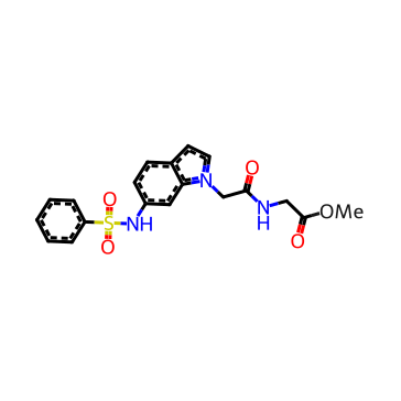 COC(=O)CNC(=O)Cn1ccc2ccc(NS(=O)(=O)c3ccccc3)cc21